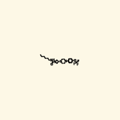 CCCCCCNC(=O)N1CC(N2CCN(c3ccc(OC(F)(F)F)cc3)CC2)C1